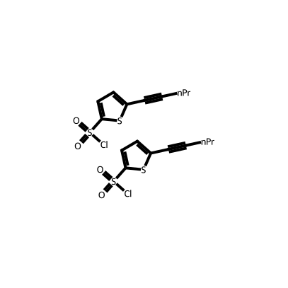 CCCC#Cc1ccc(S(=O)(=O)Cl)s1.CCCC#Cc1ccc(S(=O)(=O)Cl)s1